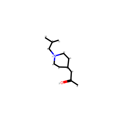 CC(=O)CC1CCN(CC(C)C)CC1